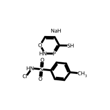 Cc1ccc(S(=O)(=O)NCl)cc1.SC1=PNOC=C1.[NaH]